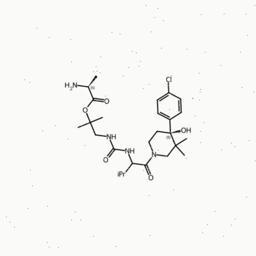 CC(C)C(NC(=O)NCC(C)(C)OC(=O)[C@H](C)N)C(=O)N1CC[C@](O)(c2ccc(Cl)cc2)C(C)(C)C1